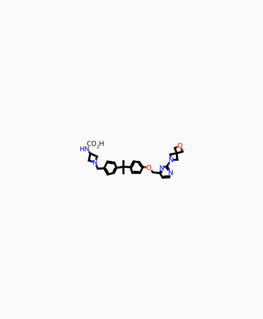 CC(C)(c1ccc(CN2CC(NC(=O)O)C2)cc1)c1ccc(OCc2ccnc(N3CC4(COC4)C3)n2)cc1